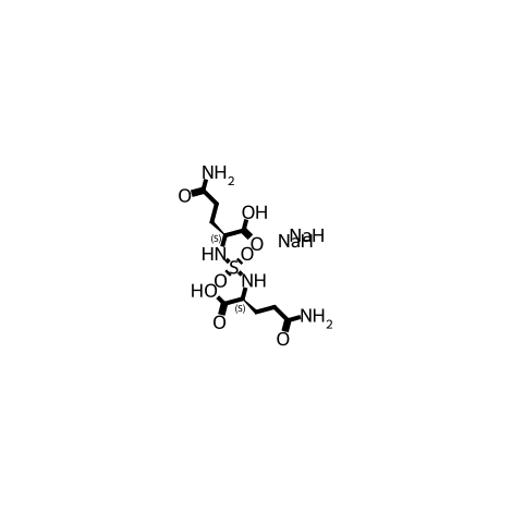 NC(=O)CC[C@H](NS(=O)(=O)N[C@@H](CCC(N)=O)C(=O)O)C(=O)O.[NaH].[NaH]